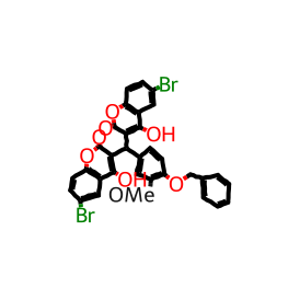 COc1cc(C(c2c(O)c3cc(Br)ccc3oc2=O)c2c(O)c3cc(Br)ccc3oc2=O)ccc1OCc1ccccc1